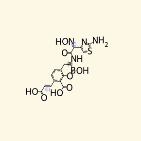 Nc1nc(/C(=N/O)C(=O)N[C@H]2Cc3ccc(/C=C/C(=O)O)c(C(=O)O)c3OB2O)cs1